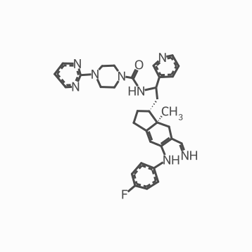 C[C@]12CC(C=N)=C(Nc3ccc(F)cc3)C=C1CC[C@@H]2CC(NC(=O)N1CCN(c2ncccn2)CC1)c1cccnc1